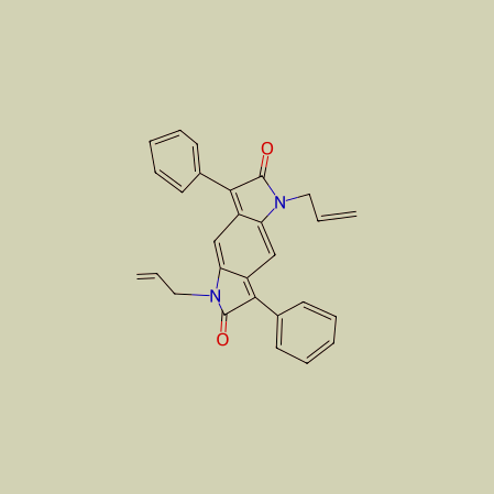 C=CCN1C(=O)C(c2ccccc2)=c2cc3c(cc21)=C(c1ccccc1)C(=O)N3CC=C